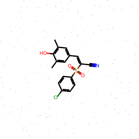 Cc1cc(C=C(C#N)S(=O)(=O)c2ccc(Cl)cc2)cc(C)c1O